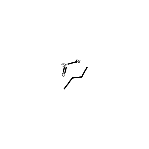 CCCC.[O]=[Sn][Br]